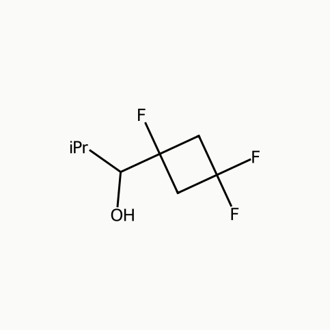 CC(C)C(O)C1(F)CC(F)(F)C1